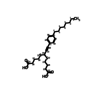 CCCCCCCCc1ccc(C#CC(SCCCC(=O)O)SCCCC(=O)O)cc1